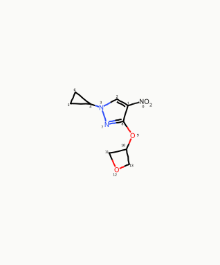 O=[N+]([O-])c1cn(C2CC2)nc1OC1COC1